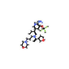 C=C(C1CCOC1)N(/C=C(\CC)c1cnc(N)c(OC(F)(F)F)c1)CCCN1CCOCC1